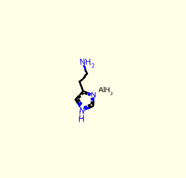 NCCc1c[nH]cn1.[AlH3]